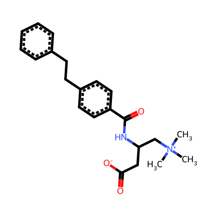 C[N+](C)(C)CC(CC(=O)[O-])NC(=O)c1ccc(CCc2ccccc2)cc1